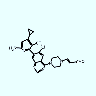 Nc1cc(C2CC2)c(C(F)(F)F)c(-c2cc3ncnc(N4CCN(C=CC=O)CC4)c3cc2Cl)n1